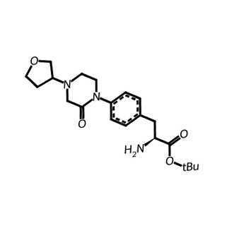 CC(C)(C)OC(=O)[C@@H](N)Cc1ccc(N2CCN(C3CCOC3)CC2=O)cc1